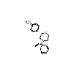 C=C[C@@]1(N2CCO[C@@H](c3ccc(N)cc3)C2)C=CC=CC1